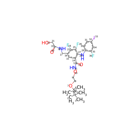 CC(C)(C)[Si](C)(C)OCCONC(=O)c1cc(CNC(=O)CO)c(F)c(F)c1Nc1ccc(I)cc1F